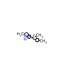 C=C1CCc2cc(CCc3ccc(C)cc3C(=C)C)ccc2N1